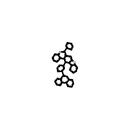 c1ccc(-c2nc3ccccc3c3c(-c4cccc(-c5cc6ccccc6c6ccccc56)c4)c4c(cc23)oc2ccccc24)cc1